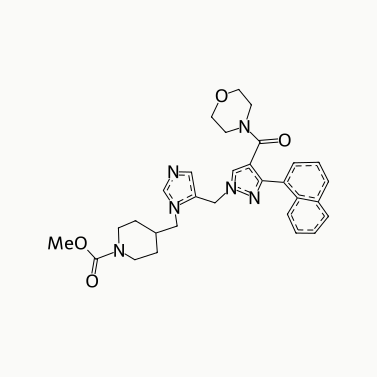 COC(=O)N1CCC(Cn2cncc2Cn2cc(C(=O)N3CCOCC3)c(-c3cccc4ccccc34)n2)CC1